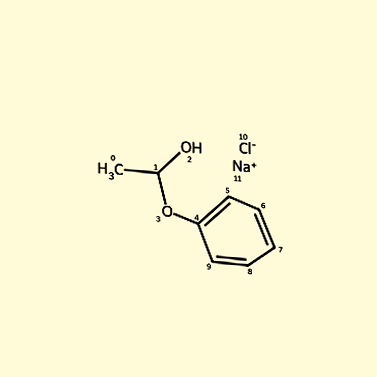 CC(O)Oc1ccccc1.[Cl-].[Na+]